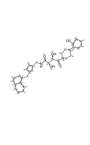 O=C(NCc1cc(Cc2cccc3ccccc23)cs1)[C@H](O)[C@@H](O)C(=O)N1CCN(c2ccccc2Cl)CC1